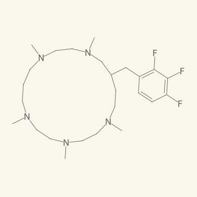 CN1CCCN(C)CCN(C)CC(Cc2ccc(F)c(F)c2F)CCN(C)CCN(C)CC1